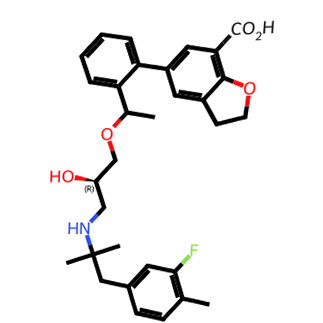 Cc1ccc(CC(C)(C)NC[C@@H](O)COC(C)c2ccccc2-c2cc3c(c(C(=O)O)c2)OCC3)cc1F